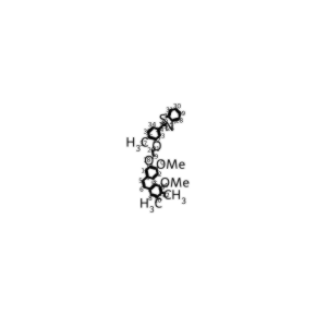 COc1ccc(/C=C\c2cc(C)c(C)c(OC)c2)cc1OCCOc1cc(-c2nc3ccccc3s2)ccc1C